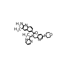 Cc1cc2cc(C(=O)N(Cc3ccc(N4CCOCC4)cn3)[C@H](C)c3ncccn3)ccc2nc1N